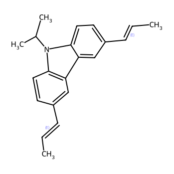 C/C=C/c1ccc2c(c1)c1cc(/C=C/C)ccc1n2C(C)C